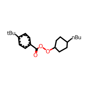 CCCCC1CC[C](OOC(=O)c2ccc(C(C)(C)C)cc2)CC1